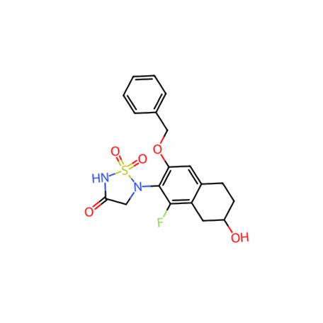 O=C1CN(c2c(OCc3ccccc3)cc3c(c2F)CC(O)CC3)S(=O)(=O)N1